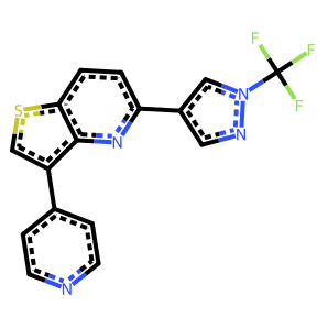 FC(F)(F)n1cc(-c2ccc3scc(-c4ccncc4)c3n2)cn1